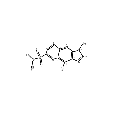 CCN(CC)S(=O)(=O)c1ccc2nc3c(cnn3C(C)C)c(Cl)c2c1